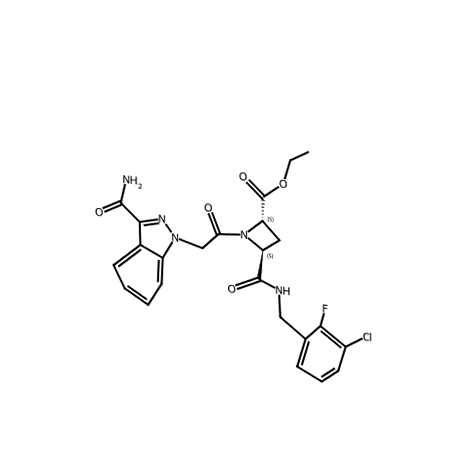 CCOC(=O)[C@@H]1C[C@@H](C(=O)NCc2cccc(Cl)c2F)N1C(=O)Cn1nc(C(N)=O)c2ccccc21